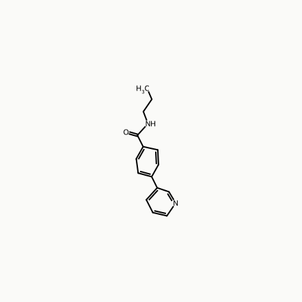 CCCNC(=O)c1ccc(-c2cccnc2)cc1